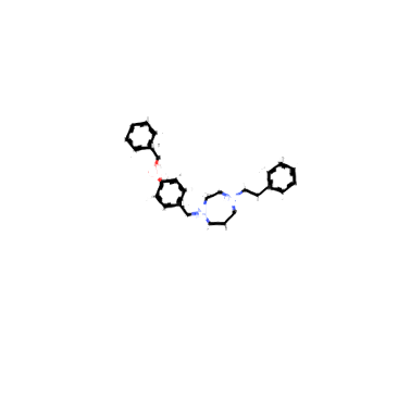 c1ccc(CCN2CCCN(Cc3ccc(OCc4ccccc4)cc3)CC2)cc1